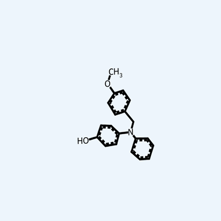 COc1ccc(CN(c2ccccc2)c2ccc(O)cc2)cc1